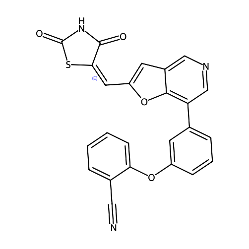 N#Cc1ccccc1Oc1cccc(-c2cncc3cc(/C=C4/SC(=O)NC4=O)oc23)c1